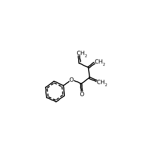 C=CC(=C)C(=C)C(=O)Oc1ccccc1